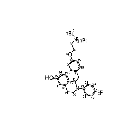 CCCCN(CCC)CCOc1ccc(CC2c3ccc(O)cc3CCN2c2ccc(F)cc2)cc1